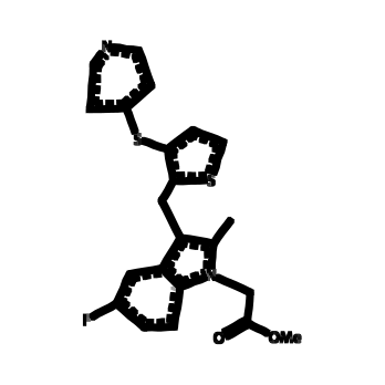 COC(=O)Cn1c(C)c(Cc2sccc2Sc2ccncc2)c2cc(F)ccc21